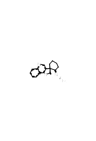 CNC(=S)C1(c2cnc3ccccc3c2)CCCCC1=NOC(C)(C)C